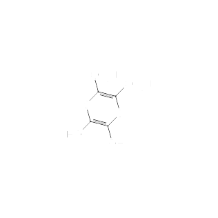 O=C(O)C1=C(C(=O)O)SC(O)=C(O)S1